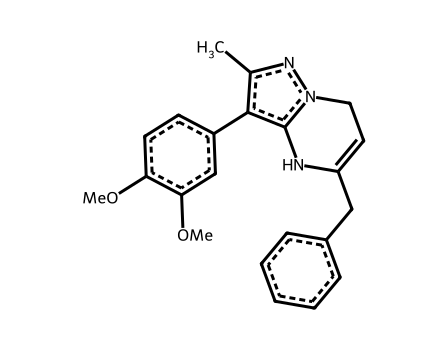 COc1ccc(-c2c(C)nn3c2NC(Cc2ccccc2)=CC3)cc1OC